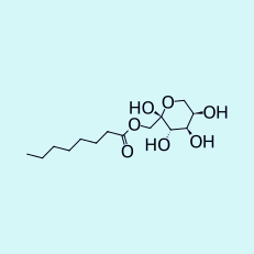 CCCCCCCC(=O)OC[C@]1(O)OC[C@@H](O)[C@@H](O)[C@@H]1O